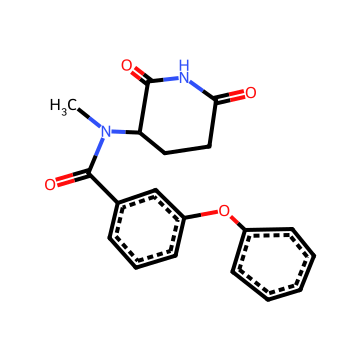 CN(C(=O)c1cccc(Oc2ccccc2)c1)C1CCC(=O)NC1=O